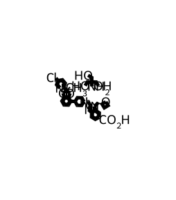 C[C@]1(c2ccc(Cl)cn2)Oc2cccc(C3CCN(Cc4nc5ccc(C(=O)O)cc5n4C[C@@H]4CCO4)CC3)c2O1.NC(CO)(CO)CO